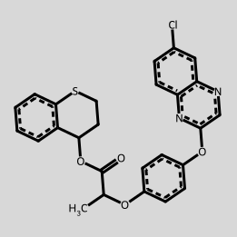 CC(Oc1ccc(Oc2cnc3cc(Cl)ccc3n2)cc1)C(=O)OC1CCSc2ccccc21